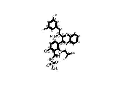 CS(=O)(=O)Nc1nn(CC(F)F)c2c(-c3nc4ccccc4nc3[C@@H](N)Cc3cc(F)cc(F)c3)ccc(Cl)c12